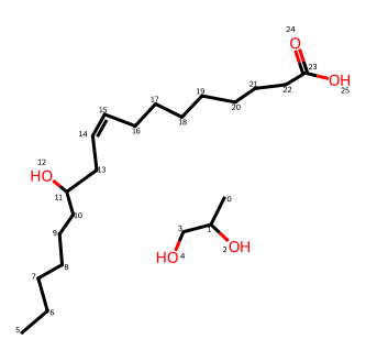 CC(O)CO.CCCCCCC(O)C/C=C\CCCCCCCC(=O)O